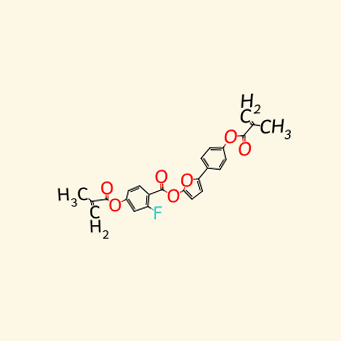 C=C(C)C(=O)Oc1ccc(-c2ccc(OC(=O)c3ccc(OC(=O)C(=C)C)cc3F)o2)cc1